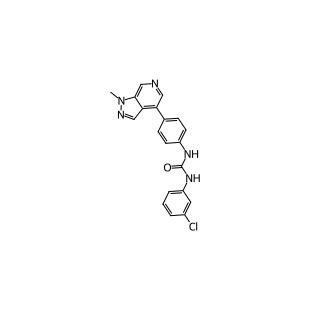 Cn1ncc2c(-c3ccc(NC(=O)Nc4cccc(Cl)c4)cc3)cncc21